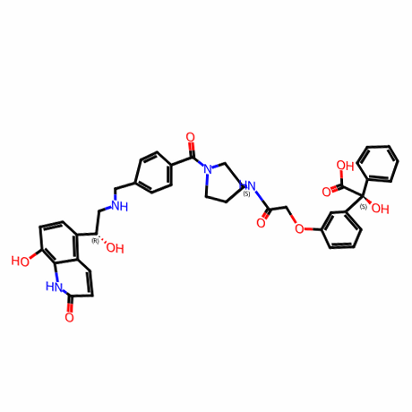 O=C(COc1cccc([C@](O)(C(=O)O)c2ccccc2)c1)N[C@H]1CCN(C(=O)c2ccc(CNC[C@H](O)c3ccc(O)c4[nH]c(=O)ccc34)cc2)C1